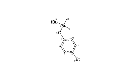 [CH2]Cc1ccc(O[Si](C)(C)C(C)(C)C)cc1